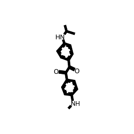 CNc1ccc(C(=O)C(=O)c2ccc(NC(C)C)cc2)cc1